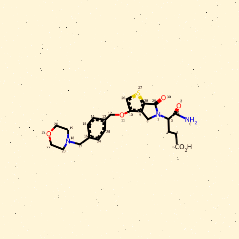 NC(=O)C(CCC(=O)O)N1Cc2c(OCc3ccc(CN4CCOCC4)cc3)csc2C1=O